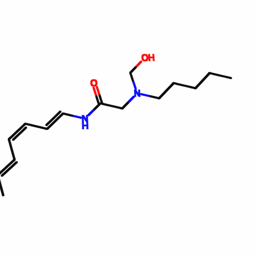 C/C=C/C=C\C=C\NC(=O)CN(CO)CCCCC